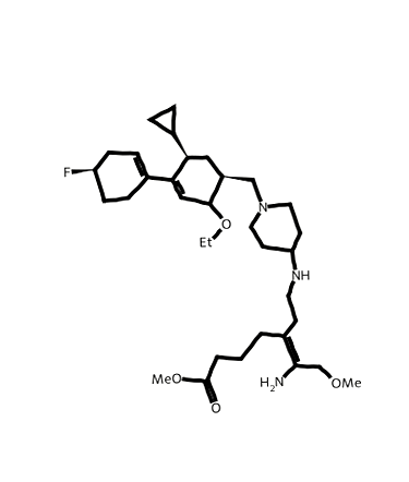 CCOC1C=C(C2=CC[C@H](F)CC2)[C@@H](C2CC2)C[C@H]1CN1CCC(NCC/C(CCCC(=O)OC)=C(/N)COC)CC1